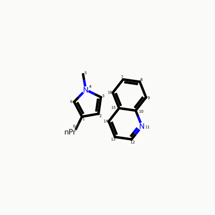 CCCc1ccn(C)c1.c1ccc2ncccc2c1